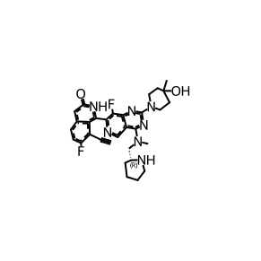 C#Cc1c(F)ccc2cc(=O)[nH]c(-c3ncc4c(N(C)C[C@H]5CCCCN5)nc(N5CCC(C)(O)CC5)nc4c3F)c12